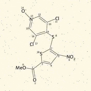 COC(=O)c1cc([N+](=O)[O-])c(Sc2c(Cl)c[n+]([O-])cc2Cl)s1